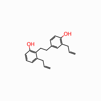 C=CCc1cc(CCc2c(O)cccc2CC=C)ccc1O